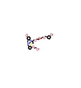 COCCOc1cccc(CN(Cc2cccc(OC)c2)c2nc(COCCOCCOCc3cccc(OC)c3)cs2)c1